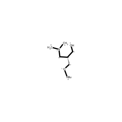 CCCCOC[C@@H](CO)CN(C)C